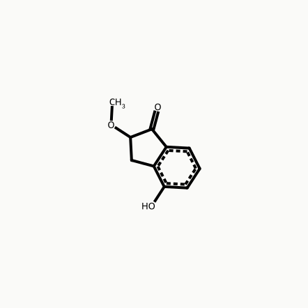 COC1Cc2c(O)cccc2C1=O